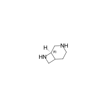 C1CC2CN[C@H]2CN1